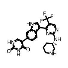 O=c1[nH]cc(-c2ccc3c(-c4nc(N[C@H]5CCCNC5)ncc4C(F)(F)F)c[nH]c3c2)c(=O)[nH]1